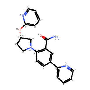 NC(=O)c1cc(-c2ccccn2)ccc1N1CC[C@H](Oc2ccccn2)C1